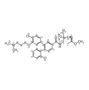 COC(=O)C[C@H](NC(=O)c1ccc(-c2ccccc2Cl)c(-c2ccc(Cl)c(OCCCN(C)C)c2)n1)C(C)(C)C